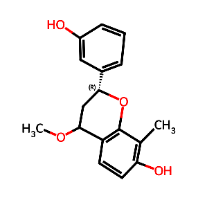 COC1C[C@H](c2cccc(O)c2)Oc2c1ccc(O)c2C